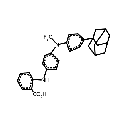 O=C(O)c1ccccc1Nc1ccc(N(c2ccc(C34CC5CC(CC(C5)C3)C4)cc2)C(F)(F)F)cc1